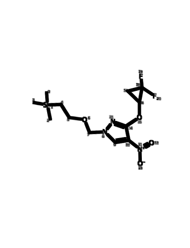 C[Si](C)(C)CCOCn1cc([N+](=O)[O-])c(OC2CC2(F)F)n1